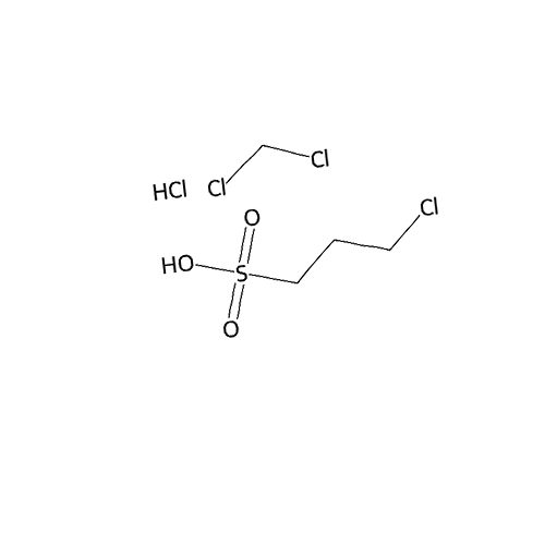 Cl.ClCCl.O=S(=O)(O)CCCCl